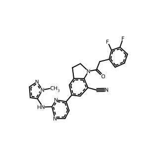 Cn1nccc1Nc1nccc(-c2cc(C#N)c3c(c2)CCN3C(=O)Cc2cccc(F)c2F)n1